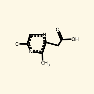 Cc1nc(Cl)cnc1CC(=O)O